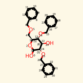 OC1O[C@@H](COCc2ccccc2)[C@H](OCc2ccccc2)[C@@H](O)[C@@H]1OCc1ccccc1